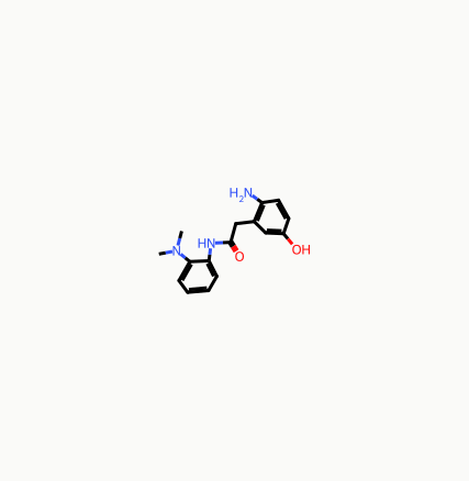 CN(C)c1ccccc1NC(=O)Cc1cc(O)ccc1N